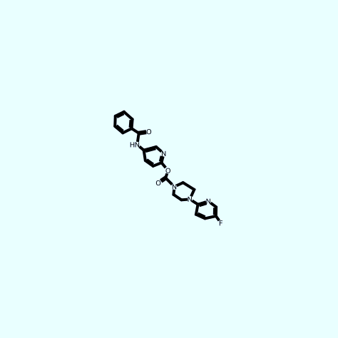 O=C(Nc1ccc(OC(=O)N2CCN(c3ccc(F)cn3)CC2)nc1)c1ccccc1